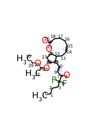 CCCCC(F)(F)C(=O)/C=C/[C@@H]1C2C/C=C\CCCC(=O)OC2C[C@H]1OC(C)OCC